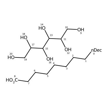 CCCCCCCCCCCCCCCCCC(=O)O.OCC(O)C(O)C(O)C(O)CO